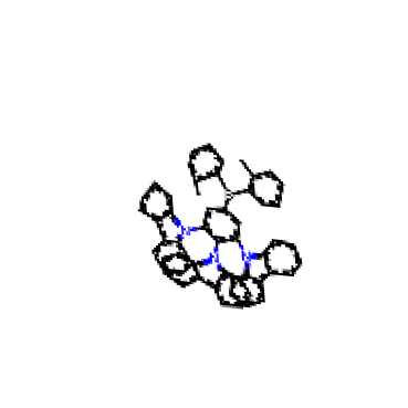 Cc1ccccc1B(c1cc(-n2c3ccccc3c3ccccc32)c(-n2c3ccccc3c3ccccc32)c(-n2c3ccccc3c3ccccc32)c1)c1ccccc1C